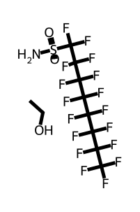 CCO.NS(=O)(=O)C(F)(F)C(F)(F)C(F)(F)C(F)(F)C(F)(F)C(F)(F)C(F)(F)C(F)(F)F